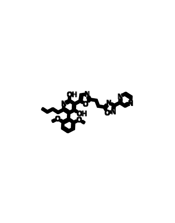 CCCCc1nc(O)c(-c2cnc(CCc3nc(-c4cnccn4)no3)o2)c(O)c1-c1c(OC)cccc1OC